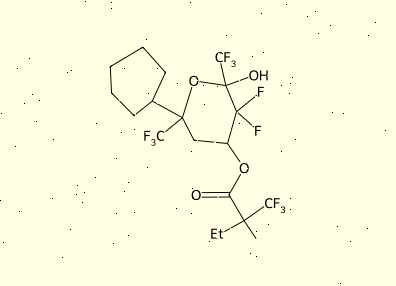 CCC(C)(C(=O)OC1CC(C2CCCCC2)(C(F)(F)F)OC(O)(C(F)(F)F)C1(F)F)C(F)(F)F